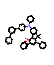 CC1(C)c2ccc(N(c3ccccc3)c3ccc(-c4cccc(-c5ccccc5)c4)cc3)cc2-c2c1c(-c1ccccc1)cc1c2oc2ccccc21